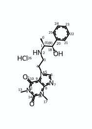 C[C@H](NCCn1cnc2c1c(=O)n(C)c(=O)n2C)[C@H](O)c1ccccc1.Cl